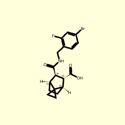 O=C(O)[C@H]1[C@H](C(=O)NCc2ccc(Br)cc2F)[C@@H]2CC[C@H]1C21CC1